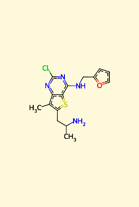 Cc1c(CC(C)N)sc2c(NCc3ccco3)nc(Cl)nc12